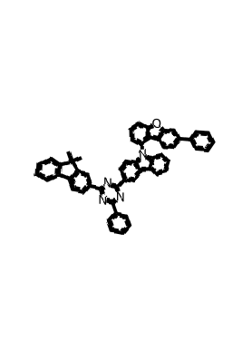 CC1(C)c2ccccc2-c2ccc(-c3nc(-c4ccccc4)nc(-c4ccc5c(c4)c4ccccc4n5-c4cccc5oc6cc(-c7ccccc7)ccc6c45)n3)cc21